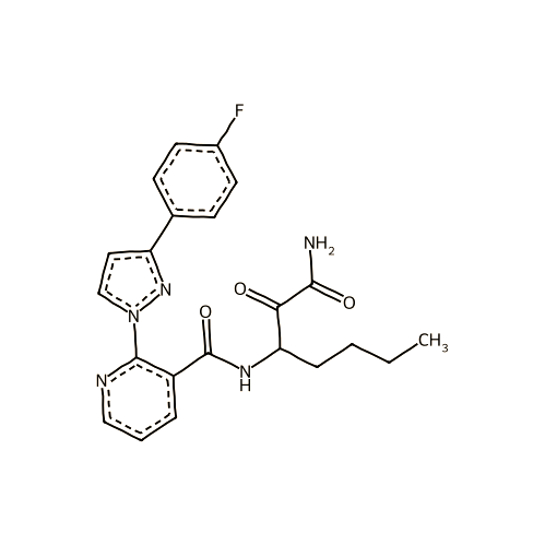 CCCCC(NC(=O)c1cccnc1-n1ccc(-c2ccc(F)cc2)n1)C(=O)C(N)=O